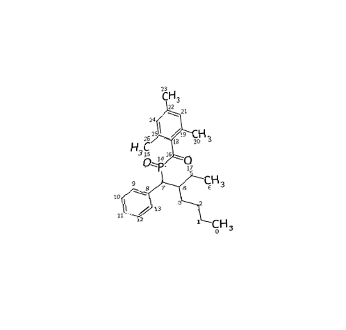 CCCCC(CC)C(c1ccccc1)[P](=O)C(=O)c1c(C)cc(C)cc1C